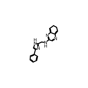 C1=c2ncc(NCc3nc(-c4ccccc4)c[nH]3)nc2=CCC1